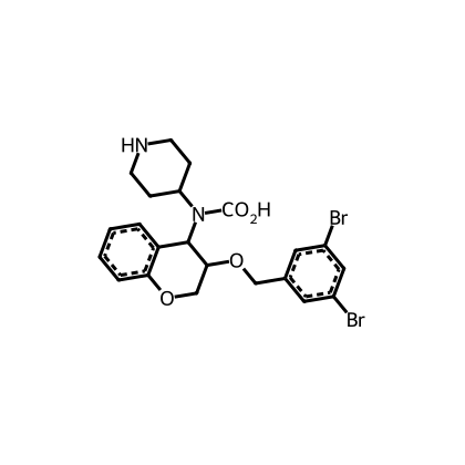 O=C(O)N(C1CCNCC1)C1c2ccccc2OCC1OCc1cc(Br)cc(Br)c1